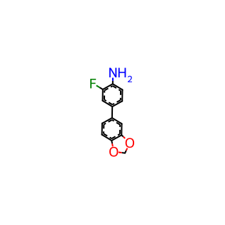 Nc1ccc(-c2ccc3c(c2)OCO3)cc1F